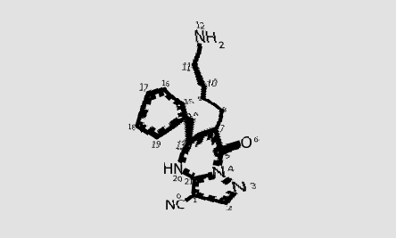 N#Cc1cnn2c(=O)c(CCCCN)c(-c3ccccc3)[nH]c12